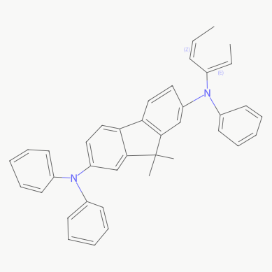 C/C=C\C(=C/C)N(c1ccccc1)c1ccc2c(c1)C(C)(C)c1cc(N(c3ccccc3)c3ccccc3)ccc1-2